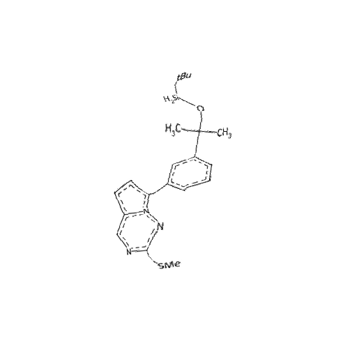 CSc1ncc2ccc(-c3cccc(C(C)(C)O[SiH2]C(C)(C)C)c3)n2n1